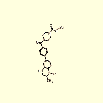 CC(=O)N1c2ccc(-c3ccc(C(=O)N4CCN(C(=O)OC(C)(C)C)CC4)cc3)cc2NC[C@@H]1C